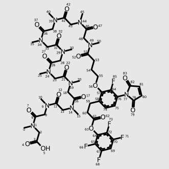 CN(CC(=O)O)C(=O)CN(C)C(=O)CN(C)C(=O)CN(C)C(=O)CN(C)C(=O)CN(C)C(=O)CN(C)C(=O)CN(C)C(=O)CN(C)C(=O)CN(C)C(=O)CCCOc1c(CCC(=O)Oc2c(F)c(F)cc(F)c2F)ccc(N2C(=O)C=CC2=O)c1F